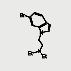 CCN(CC)CCn1ccc2ccc(Br)cc21